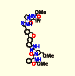 COC[C@@H]1C[C@@H](c2nc3ccc4cc5c(cc4c3[nH]2)OCc2cc(-c3cnc([C@@H]4CCCN4C(=O)C(NC(=O)OC)C(C)C)[nH]3)ccc2-5)N(C(=O)[C@H](NC(=O)OC)c2ccccc2)C1